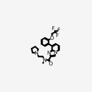 CN(CCN1CCCC1)C(=O)c1cn2cccc(-c3ccccc3OCC(F)(F)F)c2n1